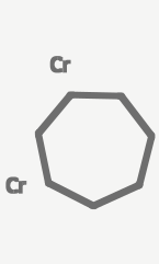 C1CCCCCC1.[Cr].[Cr]